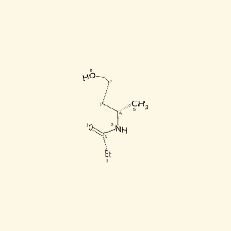 CCC(=O)N[C@@H](C)CCO